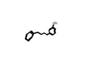 CCCc1cccc(CCCCc2ccccc2)c1